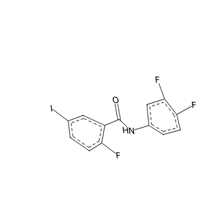 O=C(Nc1ccc(F)c(F)c1)c1cc(I)ccc1F